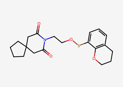 O=C1CC2(CCCC2)CC(=O)N1CCOSc1cccc2c1OCCC2